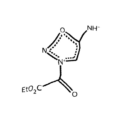 CCOC(=O)C(=O)[n+]1cc([NH-])on1